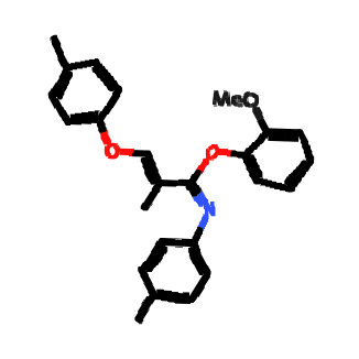 COc1ccccc1OC(=Nc1ccc(C)cc1)C(C)=COc1ccc(C)cc1